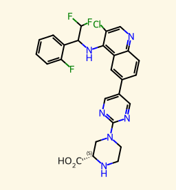 O=C(O)[C@@H]1CN(c2ncc(-c3ccc4ncc(Cl)c(NC(c5ccccc5F)C(F)F)c4c3)cn2)CCN1